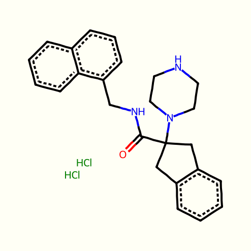 Cl.Cl.O=C(NCc1cccc2ccccc12)C1(N2CCNCC2)Cc2ccccc2C1